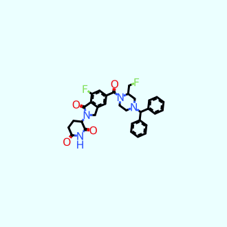 O=C1CCC(N2Cc3cc(C(=O)N4CCN(C(c5ccccc5)c5ccccc5)CC4CF)cc(F)c3C2=O)C(=O)N1